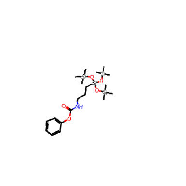 C[Si](C)(C)O[Si](CCCNC(=O)Oc1ccccc1)(O[Si](C)(C)C)O[Si](C)(C)C